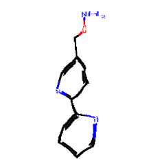 NOCc1ccc(-c2ccccn2)nc1